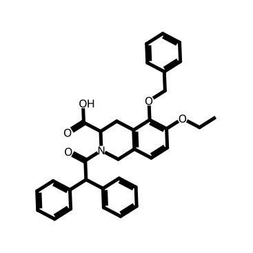 CCOc1ccc2c(c1OCc1ccccc1)CC(C(=O)O)N(C(=O)C(c1ccccc1)c1ccccc1)C2